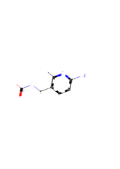 Cc1nc(N)ccc1CNC(=O)O